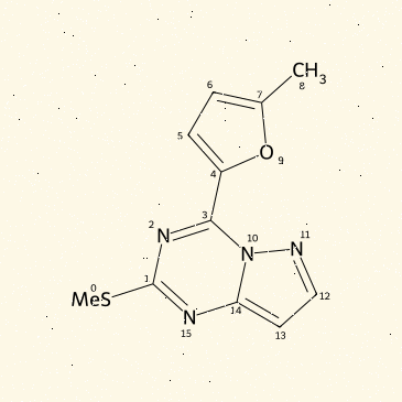 CSc1nc(-c2ccc(C)o2)n2nccc2n1